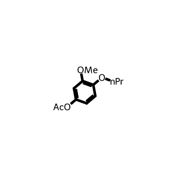 CCCOc1ccc(OC(C)=O)cc1OC